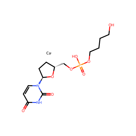 O=c1ccn([C@H]2CC[C@H](COP(=O)(O)OCCCCO)O2)c(=O)[nH]1.[Ca]